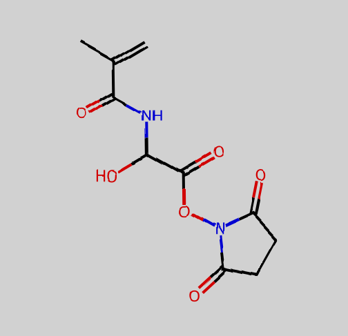 C=C(C)C(=O)NC(O)C(=O)ON1C(=O)CCC1=O